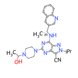 CC(O)N1CCN(c2nc(N[C@H](C)c3cnc4ccccc4c3)c3nn(C(C)C)c(C#N)c3n2)CC1